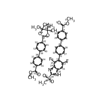 COC(=O)c1ccc(-c2ccc(-c3c(F)cc4[nH]c(S(C)(=O)=O)nc4c3F)cc2)cc1.COC(=O)c1ccc(-c2ccc(B3OC(C)(C)C(C)(C)O3)cc2)cc1